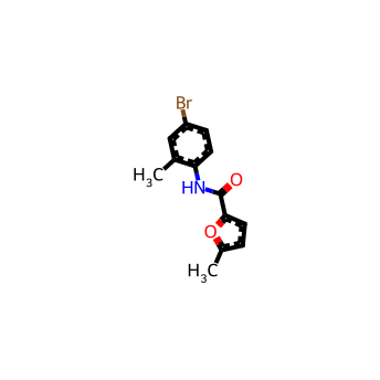 Cc1ccc(C(=O)Nc2ccc(Br)cc2C)o1